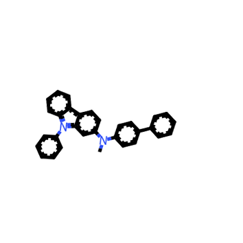 CN(c1ccc(-c2ccccc2)cc1)c1ccc2c3ccccc3n(-c3ccccc3)c2c1